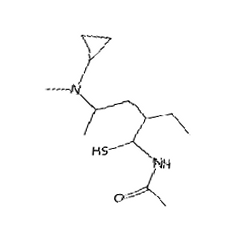 CCC(CC(C)N(C)C1CC1)C(S)NC(C)=O